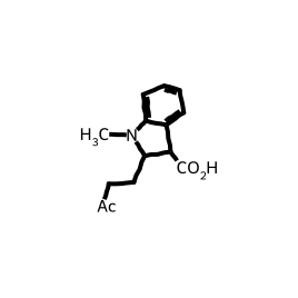 CC(=O)CCC1C(C(=O)O)c2ccccc2N1C